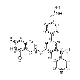 CCNCc1ccc(-c2cc(CNCc3c(C)cc(C)[nH]c3=O)c(C)c(N(CC)C3CCOCC3)c2)cc1